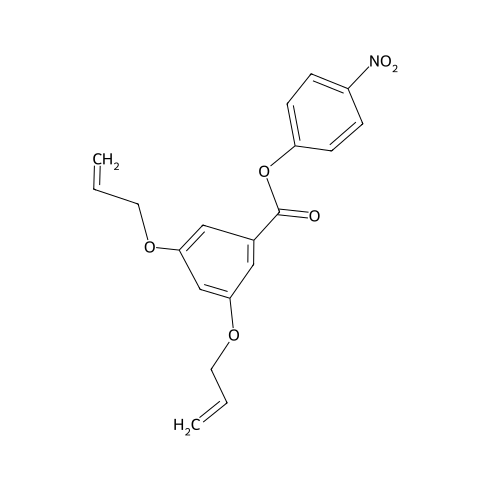 C=CCOc1cc(OCC=C)cc(C(=O)Oc2ccc([N+](=O)[O-])cc2)c1